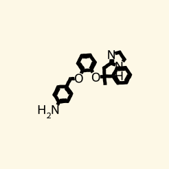 CC(CC1=NCCN1)(Oc1ccccc1OCc1ccc(N)cc1)c1ccccc1